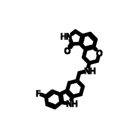 O=C1NCc2ccc3c(c21)CC(NCC1CCc2[nH]c4ccc(F)cc4c2C1)CO3